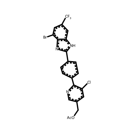 CC(=O)OCc1cnc(-c2ccc(-c3nc4c(Br)cc(C(F)(F)F)cc4[nH]3)cc2)c(Cl)c1